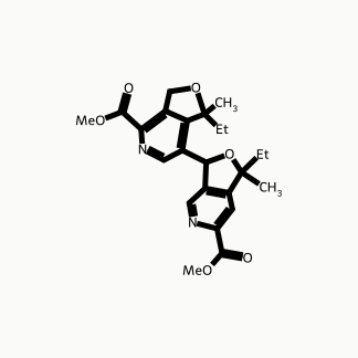 CCC1(C)OC(c2cnc(C(=O)OC)c3c2C(C)(CC)OC3)c2cnc(C(=O)OC)cc21